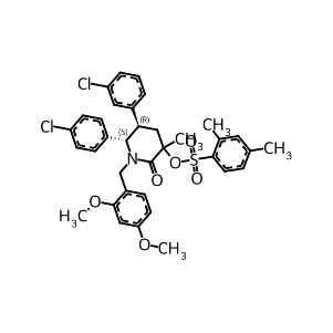 COc1ccc(CN2C(=O)C(C)(OS(=O)(=O)c3ccc(C)cc3C)C[C@H](c3cccc(Cl)c3)[C@H]2c2ccc(Cl)cc2)c(OC)c1